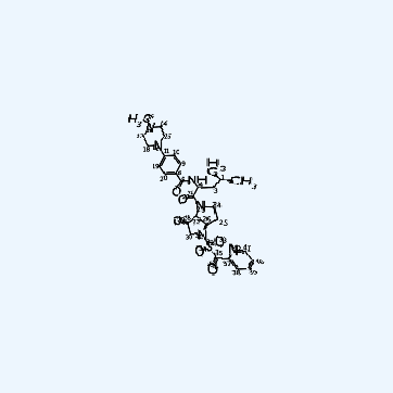 CC(C)CC(NC(=O)c1ccc(N2CCN(C)CC2)cc1)C(=O)N1CCC2C1C(=O)CN2S(=O)(=O)C(=O)c1ccccn1